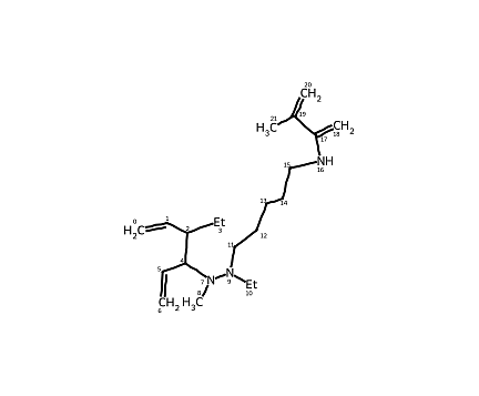 C=CC(CC)C(C=C)N(C)N(CC)CCCCCNC(=C)C(=C)C